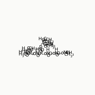 CC(C)Nc1ccc(COC(=O)Nc2ccc(COC(=O)Nc3ccc(C=C(COC(=O)Nc4ccc(C=C(COC(=O)C(C)(C)C)COC(=O)C(C)(C)C)cc4)COC(=O)Nc4ccc(C=C(COC(=O)C(C)(C)C)COC(=O)C(C)(C)C)cc4)cc3)cc2)cc1